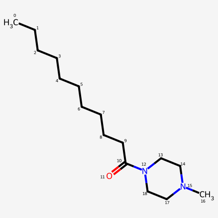 CCCCCCCCCCC(=O)N1CCN(C)CC1